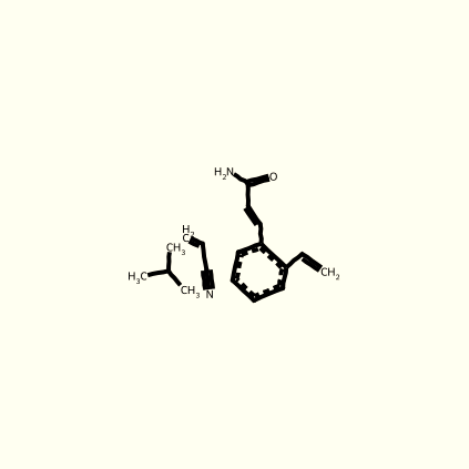 C=CC#N.C=Cc1ccccc1C=CC(N)=O.CC(C)C